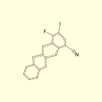 N#Cc1cc(I)c(F)c2cc3cc4ccccc4cc3cc12